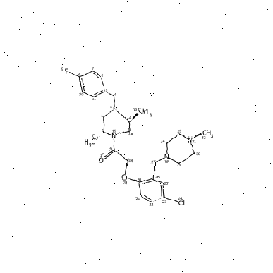 C[C@@H]1CN(Cc2ccc(F)cc2)[C@@H](C)CN1C(=O)COc1ccc(Cl)cc1CN1CCN(C)CC1